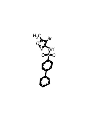 Cc1onc(NS(=O)(=O)c2ccc(-c3ccccc3)cc2)c1Br